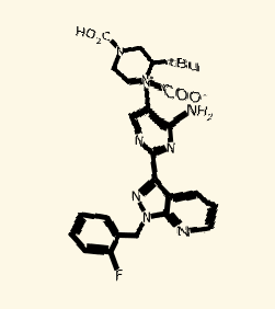 CC(C)(C)C1CN(C(=O)O)CC[N+]1(C(=O)[O-])c1cnc(-c2nn(Cc3ccccc3F)c3ncccc23)nc1N